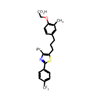 Cc1cc(CCCc2sc(-c3ccc(C(F)(F)F)cc3)nc2C(C)C)ccc1OCC(=O)O